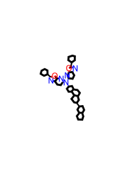 c1ccc(-c2nc3ccc(N(c4ccc5c(ccc6cc(-c7ccc8ccccc8c7)ccc65)c4)c4ccc5nc(-c6ccccc6)oc5n4)nc3o2)cc1